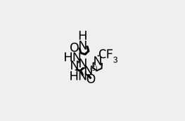 O=c1[nH]cccc1Nc1ncc2[nH]c(=O)n([C@H]3CCCN(CC(F)(F)F)C3)c2n1